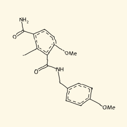 COc1ccc(CNC(=O)c2c(OC)ccc(C(N)=O)c2C)cc1